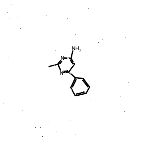 Cc1nc(N)cc(-c2ccccc2)n1